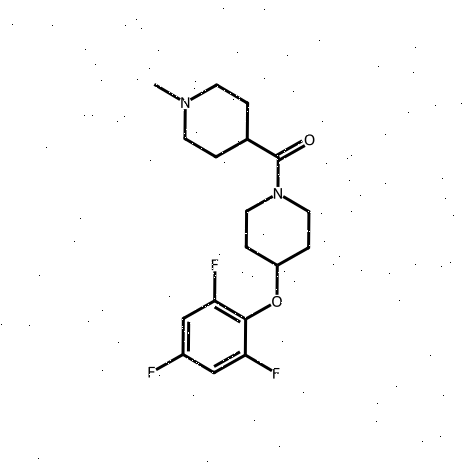 CN1CCC(C(=O)N2CCC(Oc3c(F)cc(F)cc3F)CC2)CC1